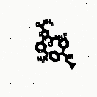 NCc1cccc(-n2nc(C(N)=O)cc2C(=O)Nc2cc(C(NCC3CC3)c3ccccc3)ccc2F)c1